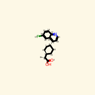 C[C@@H](C(=O)O)[C@H]1CC[C@H](c2ccnc3ccc(F)cc32)CC1